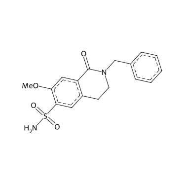 COc1cc2c(cc1S(N)(=O)=O)CCN(Cc1ccccc1)C2=O